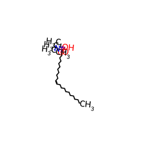 CCCCCCCCCCC/C=C\CCCCCCCCCOP(=O)(O)C(CC)[N+](C)(C)C